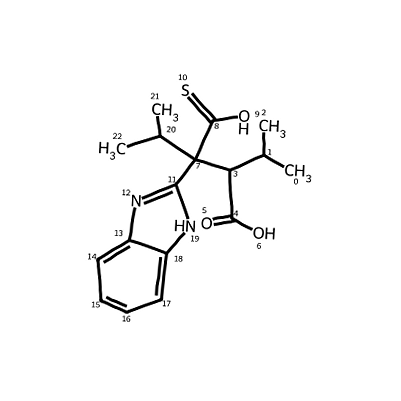 CC(C)C(C(=O)O)C(C(O)=S)(c1nc2ccccc2[nH]1)C(C)C